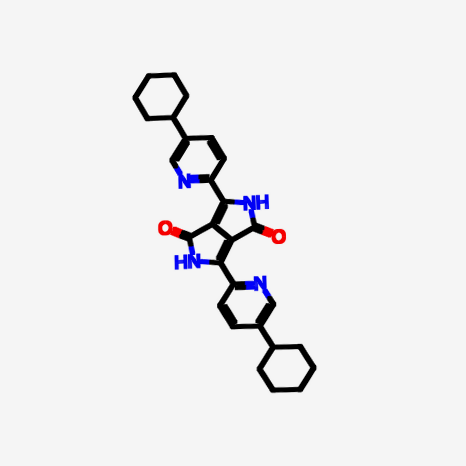 O=C1NC(c2ccc(C3CCCCC3)cn2)=C2C(=O)NC(c3ccc(C4CCCCC4)cn3)=C12